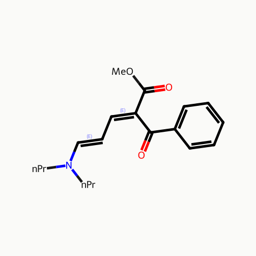 CCCN(/C=C/C=C(/C(=O)OC)C(=O)c1ccccc1)CCC